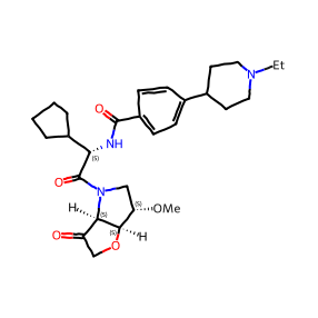 CCN1CCC(c2ccc(C(=O)N[C@H](C(=O)N3C[C@H](OC)[C@H]4OCC(=O)[C@H]43)C3CCCC3)cc2)CC1